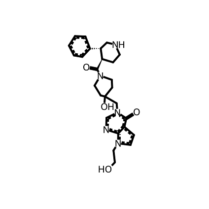 O=C([C@@H]1CCNC[C@H]1c1ccccc1)N1CCC(O)(Cn2cnc3c(ccn3CCO)c2=O)CC1